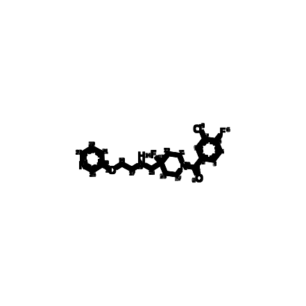 O=C(c1ccc(F)c(Cl)c1)N1CCC(F)(CNCCOc2cccnc2)CC1